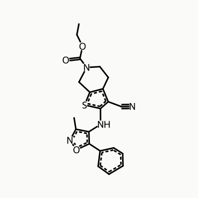 CCOC(=O)N1CCc2c(sc(Nc3c(C)noc3-c3ccccc3)c2C#N)C1